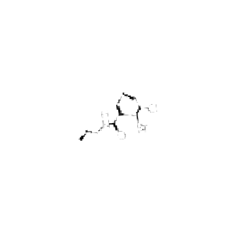 C=CCNC(=O)c1cccc(Cl)c1Br